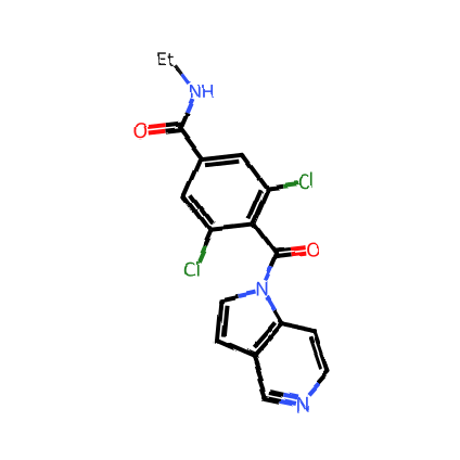 CCNC(=O)c1cc(Cl)c(C(=O)n2ccc3cnccc32)c(Cl)c1